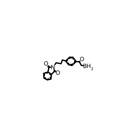 BCC(=O)c1ccc(CCCN2C(=O)c3ccccc3C2=O)cc1